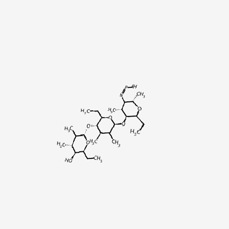 [4H]/P=N\C1[C@H](C)OC(CC)[C@@H](O[C@@H]2OC(CC)[C@@H](O[C@@H]3OC(CC)[C@@H](O)[C@H](C)C3C)[C@H](C)C2C)[C@@H]1C